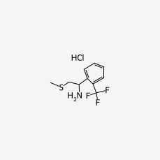 CSCC(N)c1ccccc1C(F)(F)F.Cl